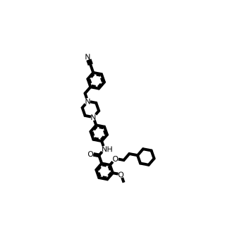 COc1cccc(C(=O)Nc2ccc(N3CCN(Cc4cccc(C#N)c4)CC3)cc2)c1OCCC1CCCCC1